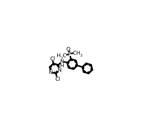 CP(C)(=O)c1cc(-c2ccccc2)ccc1Nc1nc(Cl)ncc1Cl